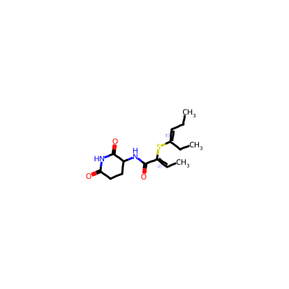 C/C=C(\S/C(=C/CC)CC)C(=O)NC1CCC(=O)NC1=O